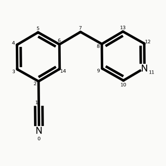 N#Cc1cccc(Cc2ccncc2)c1